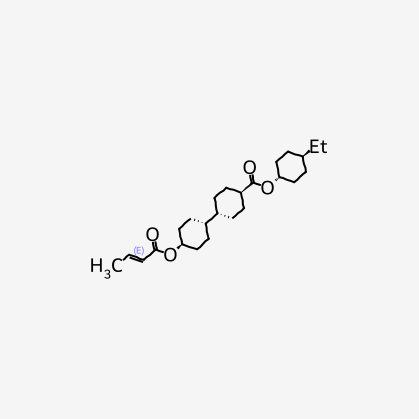 C/C=C/C(=O)O[C@H]1CC[C@H]([C@H]2CC[C@H](C(=O)O[C@H]3CC[C@H](CC)CC3)CC2)CC1